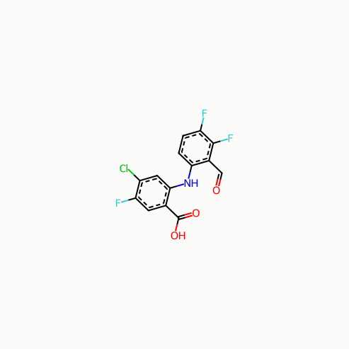 O=Cc1c(Nc2cc(Cl)c(F)cc2C(=O)O)ccc(F)c1F